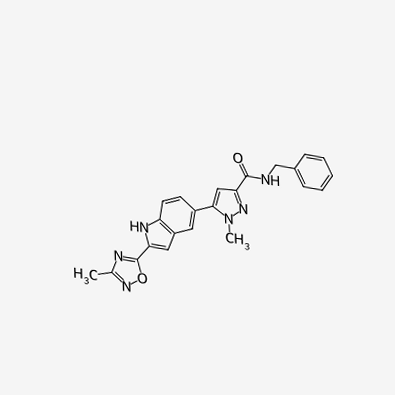 Cc1noc(-c2cc3cc(-c4cc(C(=O)NCc5ccccc5)nn4C)ccc3[nH]2)n1